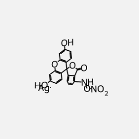 O=C1OC2(c3ccc(O)cc3Oc3cc(O)ccc32)c2cccc(NO[N+](=O)[O-])c21.[Ag]